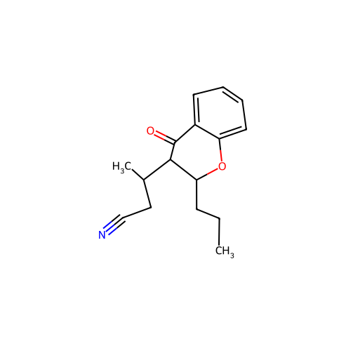 CCCC1Oc2ccccc2C(=O)C1C(C)CC#N